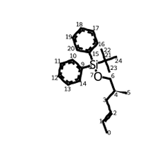 C/C=C/C[C@H](C)CO[Si](c1ccccc1)(c1ccccc1)C(C)(C)C